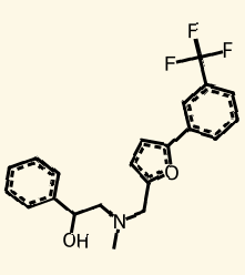 CN(Cc1ccc(-c2cccc(C(F)(F)F)c2)o1)CC(O)c1ccccc1